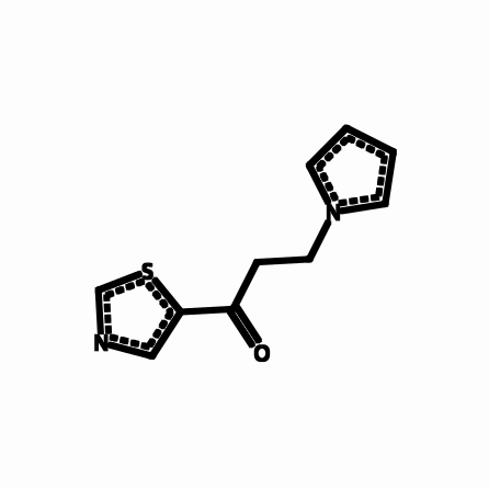 O=C(CCn1cccc1)c1cncs1